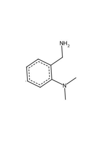 CN(C)c1c[c]ccc1CN